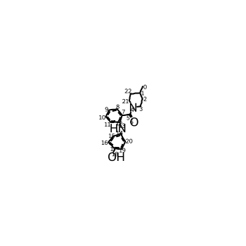 CC1CCN(C(=O)c2ccccc2Nc2ccc(O)cc2)CC1